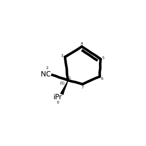 CC(C)[C@@]1(C#N)CC=CCC1